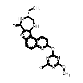 CC[C@@H]1CNc2c(sc3ccc4nc(Oc5nc(Cl)nc(OC)n5)ccc4c23)C(=O)N1